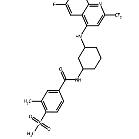 Cc1cc(C(=O)NC2CCCC(Nc3cc(C(F)(F)F)nc4ccc(F)cc34)C2)ccc1S(C)(=O)=O